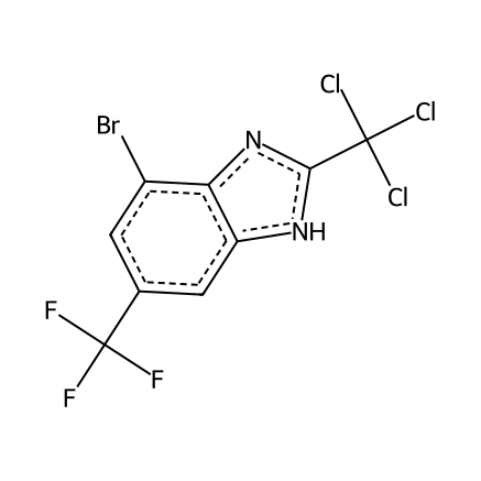 FC(F)(F)c1cc(Br)c2nc(C(Cl)(Cl)Cl)[nH]c2c1